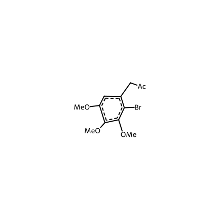 COc1cc(CC(C)=O)c(Br)c(OC)c1OC